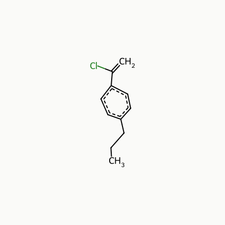 C=C(Cl)c1ccc(CCC)cc1